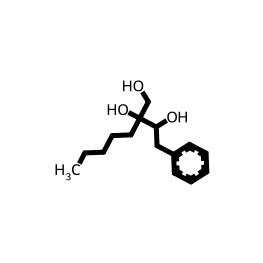 CCCCCC(O)(CO)C(O)Cc1ccccc1